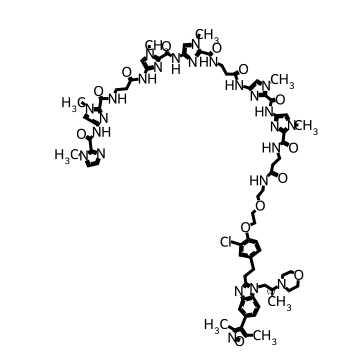 Cc1noc(C)c1-c1ccc2c(c1)nc(CCc1ccc(OCCOCCNC(=O)CCNC(=O)c3nc(NC(=O)c4nc(NC(=O)CCNC(=O)c5nc(NC(=O)c6nc(NC(=O)CCNC(=O)c7nc(NC(=O)c8nccn8C)cn7C)cn6C)cn5C)cn4C)cn3C)c(Cl)c1)n2C[C@H](C)N1CCOCC1